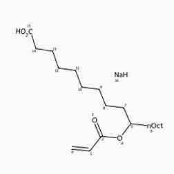 C=CC(=O)OC(CCCCCCCC)CCCCCCCCC(=O)O.[NaH]